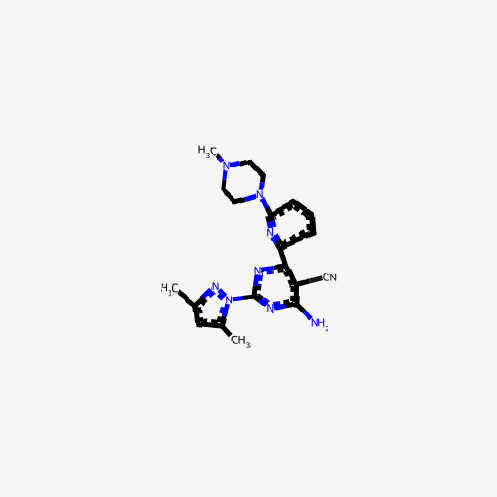 Cc1cc(C)n(-c2nc(N)c(C#N)c(-c3cccc(N4CCN(C)CC4)n3)n2)n1